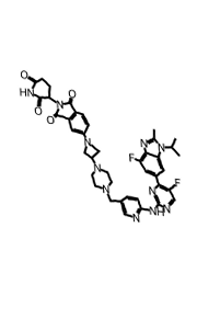 Cc1nc2c(F)cc(-c3nc(Nc4ccc(CN5CCN(C6CN(c7ccc8c(c7)C(=O)N(C7CCC(=O)NC7=O)C8=O)C6)CC5)cn4)ncc3F)cc2n1C(C)C